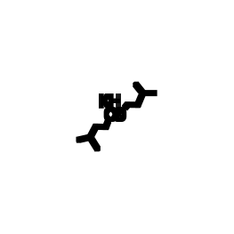 CC(C)CCOOCCC(C)C.[KH]